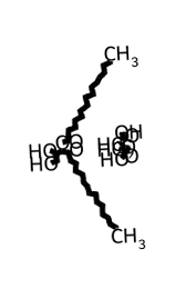 CCCCCCCCCCCCCCCC(=O)OC(C(=O)CCCCCCCCCCCCCCC)C(O)CO.O=P(O)(O)OP(=O)(O)O